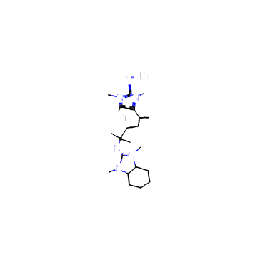 CC(C)c1c(C(C)CCC(C)(C)N=C2N(C)C3CCCCC3N2C)n(C)/c(=N\C(C)(C)C)n1C